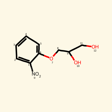 O=[N+]([O-])c1ccccc1OCC(O)CO